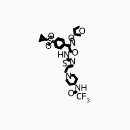 O=C(Nc1ncc(CN2CCC(NC(=O)C(F)(F)F)CC2)s1)/C(=N/O[C@@H]1CCOC1)c1ccc(S(=O)(=O)C2CC2)cc1